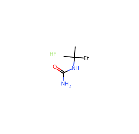 CCC(C)(C)NC(N)=O.F